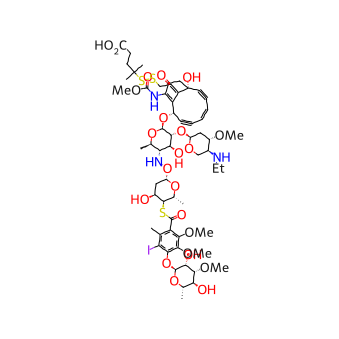 CCN[C@H]1CO[C@@H](O[C@H]2[C@H](O[C@H]3C#C/C=C\C#C[C@]4(O)CC(=O)C(NC(=O)OC)=C3/C4=C\CSSC(C)(C)CCC(=O)O)O[C@H](C)[C@@H](NO[C@H]3C[C@H](O)[C@H](SC(=O)c4c(C)c(I)c(O[C@@H]5O[C@@H](C)[C@H](O)[C@@H](OC)[C@H]5O)c(OC)c4OC)[C@@H](C)O3)[C@@H]2O)C[C@@H]1OC